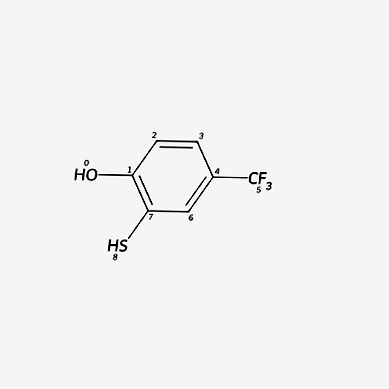 Oc1ccc(C(F)(F)F)cc1S